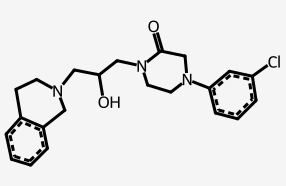 O=C1CN(c2cccc(Cl)c2)CCN1CC(O)CN1CCc2ccccc2C1